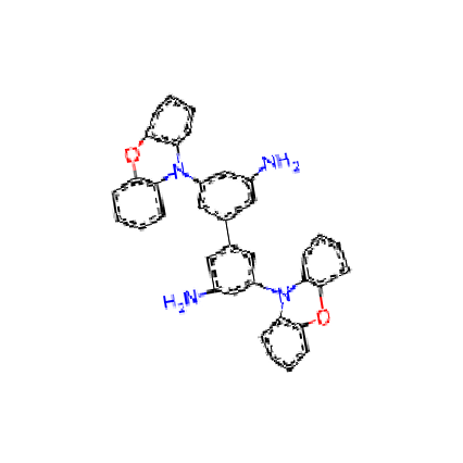 Nc1cc(-c2cc(N)cc(N3c4ccccc4Oc4ccccc43)c2)cc(N2c3ccccc3Oc3ccccc32)c1